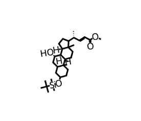 COC(=O)/C=C/[C@@H](C)C1CC[C@H]2[C@@H]3[C@H](O)CC4CC(O[Si](C)(C)C(C)(C)C)CCC4(C)[C@H]3CCC12C